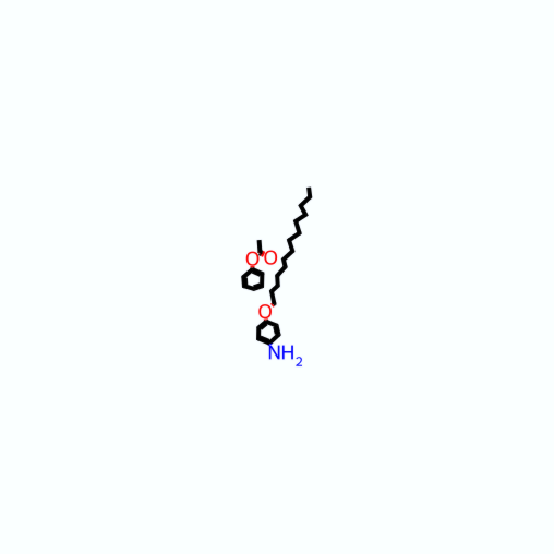 CC(=O)Oc1ccccc1.CCCCCCCCCCCCCCOc1ccc(N)cc1